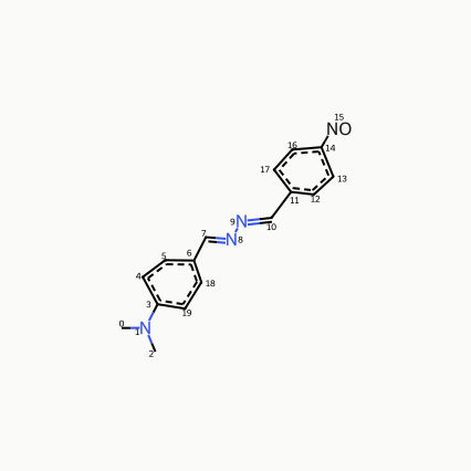 CN(C)c1ccc(/C=N/N=C/c2ccc(N=O)cc2)cc1